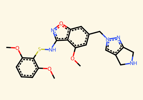 COc1cccc(OC)c1SNc1noc2cc(Cn3cc4c(n3)CNC4)cc(OC)c12